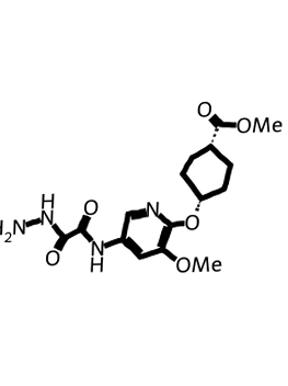 COc1cc(NC(=O)C(=O)NN)cnc1O[C@H]1CC[C@@H](C(=O)OC)CC1